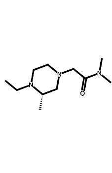 CCN1CCN(CC(=O)N(C)C)C[C@@H]1C